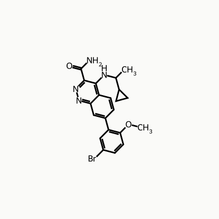 COc1ccc(Br)cc1-c1ccc2c(NC(C)C3CC3)c(C(N)=O)nnc2c1